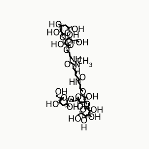 CN[C@@H](CCCC(=O)NCCO[C@H]1O[C@H](CO[C@H]2O[C@H](CO)[C@@H](O)C[C@@H]2O)[C@@H](O)[C@H](O[C@H]2O[C@H](CO)[C@@H](O)[C@H](O)[C@@H]2O)[C@@H]1O)C(=O)NCCO[C@H]1O[C@H](CO)[C@@H](O)[C@H](O[C@H]2O[C@H](CO)C[C@H](O)[C@@H]2O)[C@@H]1O